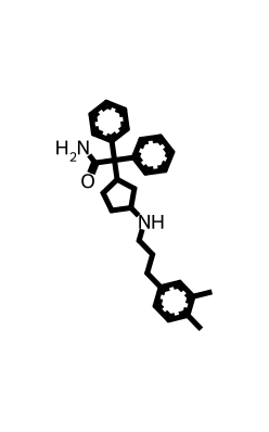 Cc1ccc(CCCNC2CCC(C(C(N)=O)(c3ccccc3)c3ccccc3)C2)cc1C